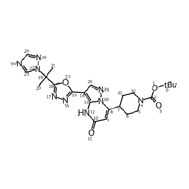 CC(C)(C)OC(=O)N1CCC(c2cc(=O)[nH]c3c(-c4nnc(C(C)(C)n5cncn5)o4)cnn23)CC1